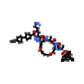 CCCCc1ccc(-c2ccc(C(=O)NC(CCCCN)C(=O)N[C@H]3COCCCCOCC[C@@H](C(=O)N[C@@H](C)B4O[C@@H]5C[C@@H]6C[C@@H](C6(C)C)[C@]5(C)O4)NC(=O)[C@H](C)NC3=O)cc2)cc1